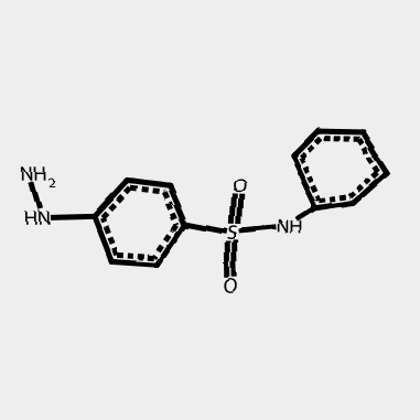 NNc1ccc(S(=O)(=O)Nc2ccccc2)cc1